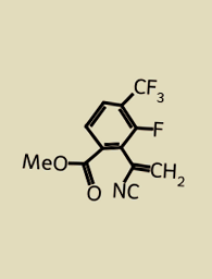 C=C(C#N)c1c(C(=O)OC)ccc(C(F)(F)F)c1F